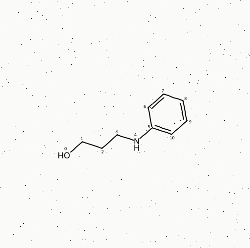 OCCCNc1[c]cccc1